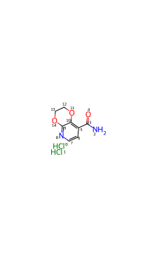 Cl.Cl.NC(=O)c1ccnc2c1OCCO2